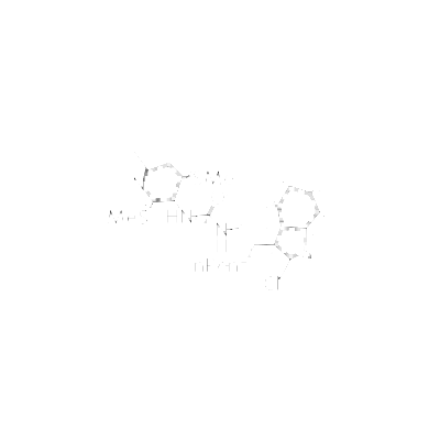 CCCCCC(CNC(=O)Nc1c(SC)cc(C)nc1SC)c1c(Cl)sc2ccccc12